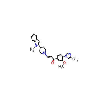 COc1cc(C(=O)/C=C/N2CCC(c3cc4ccccc4n3C)CC2)ccc1-n1cnc(C)c1